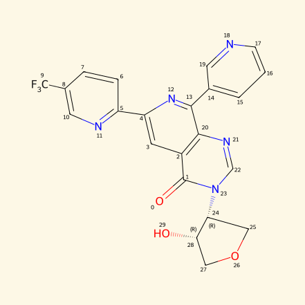 O=c1c2cc(-c3ccc(C(F)(F)F)cn3)nc(-c3cccnc3)c2ncn1[C@@H]1COC[C@@H]1O